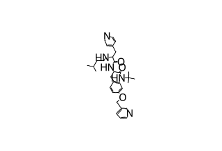 CC(C)CCNC(Cc1ccncc1)C(=O)NC(Cc1ccc(OCc2cccnc2)cc1)C(=O)NC(C)(C)C